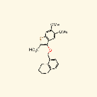 COc1cc2sc(C(=O)O)c(OCc3cccc4c3CCCC4)c2cc1OC